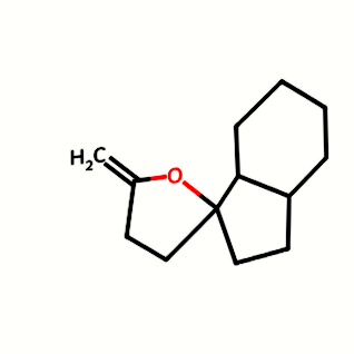 C=C1CCC2(CCC3CCCCC32)O1